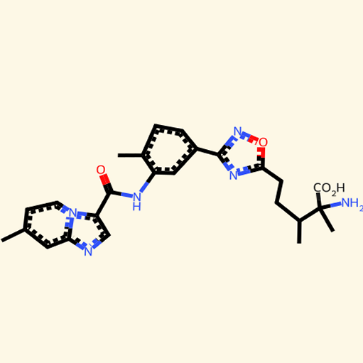 Cc1ccn2c(C(=O)Nc3cc(-c4noc(CCC(C)C(C)(N)C(=O)O)n4)ccc3C)cnc2c1